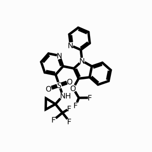 O=S(=O)(NC1(C(F)(F)F)CC1)c1cccnc1-c1c(OC(F)F)c2ccccc2n1-c1ccccn1